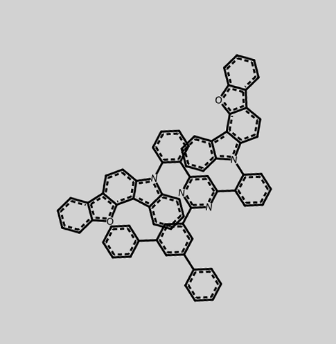 c1ccc(-c2cc(-c3ccccc3)cc(-c3nc(-c4ccccc4-n4c5ccccc5c5c6oc7ccccc7c6ccc54)cc(-c4ccccc4-n4c5ccccc5c5c6oc7ccccc7c6ccc54)n3)c2)cc1